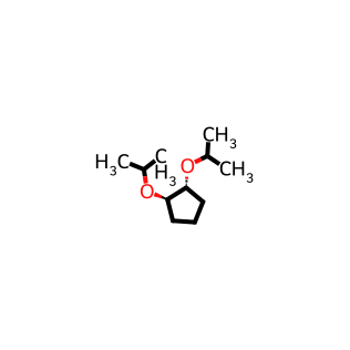 CC(C)O[C@@H]1CCC[C@H]1OC(C)C